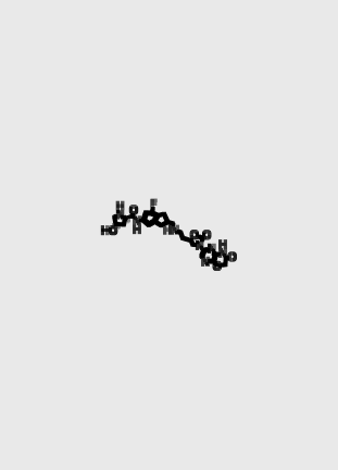 O=C1COc2ncc(N3CC(CCNCC4Cc5cc(NC(=O)[C@H]6C[C@H](O)CN6)cc(F)c5C4)OC3=O)nc2N1